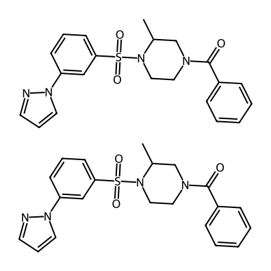 CC1CN(C(=O)c2ccccc2)CCN1S(=O)(=O)c1cccc(-n2cccn2)c1.CC1CN(C(=O)c2ccccc2)CCN1S(=O)(=O)c1cccc(-n2cccn2)c1